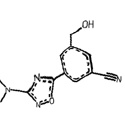 CN(C)c1noc(-c2cc(C#N)cc(CO)c2)n1